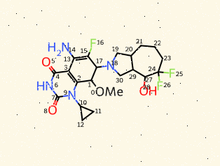 COC1c2c(c(=O)[nH]c(=O)n2C2CC2)C(N)=C(F)C1N1CC2CCCC(F)(F)C(O)C2C1